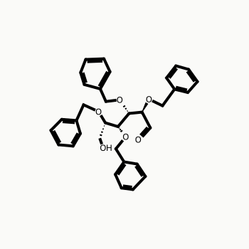 O=C[C@H](OCc1ccccc1)[C@@H](OCc1ccccc1)[C@H](OCc1ccccc1)[C@H](CO)OCc1ccccc1